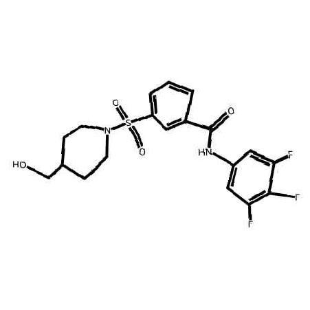 O=C(Nc1cc(F)c(F)c(F)c1)c1cccc(S(=O)(=O)N2CCC(CO)CC2)c1